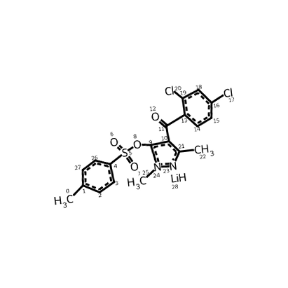 Cc1ccc(S(=O)(=O)Oc2c(C(=O)c3ccc(Cl)cc3Cl)c(C)nn2C)cc1.[LiH]